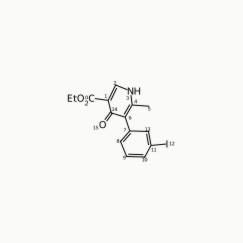 CCOC(=O)c1c[nH]c(C)c(-c2cccc(I)c2)c1=O